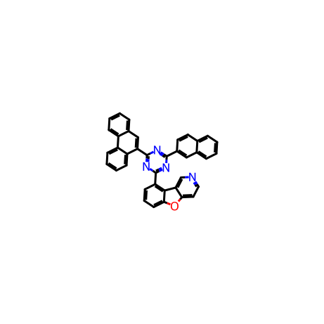 c1ccc2cc(-c3nc(-c4cc5ccccc5c5ccccc45)nc(-c4cccc5oc6ccncc6c45)n3)ccc2c1